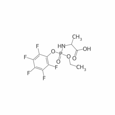 CCOP(=O)(NC(C)C(=O)O)Oc1c(F)c(F)c(F)c(F)c1F